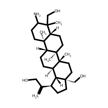 C=C(CO)[C@@H]1CC[C@]2(CO)CC[C@]3(C)[C@H](CC[C@@H]4[C@@]5(C)CCC(N)C(C)(CO)[C@@H]5CC[C@]43C)[C@@H]12